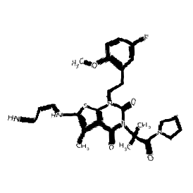 COc1ccc(F)cc1CCn1c(=O)n(C(C)(C)C(=O)N2CCCC2)c(=O)c2c(C)c(N/C=C\C=N)sc21